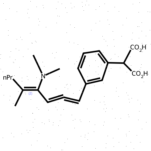 CCC/C(C)=C(/C=C=Cc1cccc(C(C(=O)O)C(=O)O)c1)N(C)C